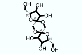 OC[C@H]1O[C@@]2(CO[C@@]3(CO2)O[C@H](CO)C(O)C3O)C(O)C1O